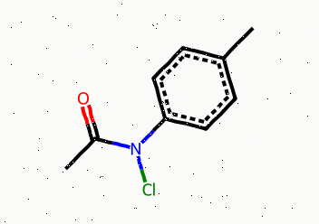 CC(=O)N(Cl)c1ccc(C)cc1